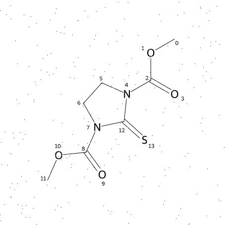 COC(=O)N1CCN(C(=O)OC)C1=S